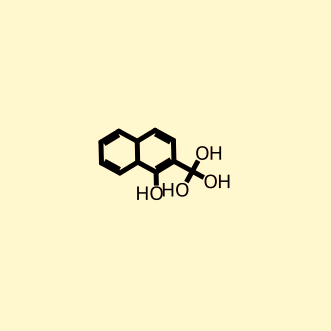 OC1=C(C(O)(O)O)C=CC2C=CC=CC12